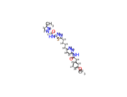 Cc1ccn(CC(=O)Nc2nnc(CCCCc3ccc(NC(=O)Cc4cccc(OC(F)(F)F)c4)nn3)s2)n1